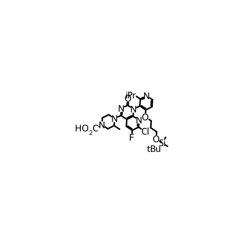 CC(C)c1nccc(OCCCO[Si](C)(C)C(C)(C)C)c1-n1c(=O)nc(N2CCN(C(=O)O)CC2C)c2cc(F)c(Cl)nc21